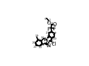 CCOC(=O)C(F)(F)c1ccc2c(Cl)nn(Cc3c(C)cccc3C#N)c2c1